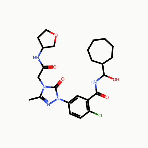 Cc1nn(-c2ccc(Cl)c(C(=O)NC(O)C3CCCCCC3)c2)c(=O)n1CC(=O)NC1CCOC1